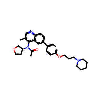 C=C(/C=C\C(=C/C)c1ccc2ncc(C)c(N(C(C)=O)[C@H]3CCOC3)c2c1)OCCCN1CCCCC1